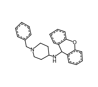 c1ccc(CN2CCC(NC3c4ccccc4Oc4ccccc43)CC2)cc1